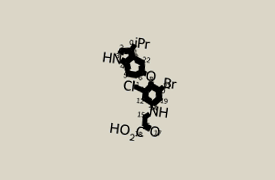 CC(C)c1c[nH]c2ccc(Oc3c(Cl)cc(NCC(=O)C(=O)O)cc3Br)cc12